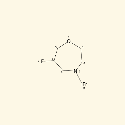 CC(C)N1CCOCC(F)C1